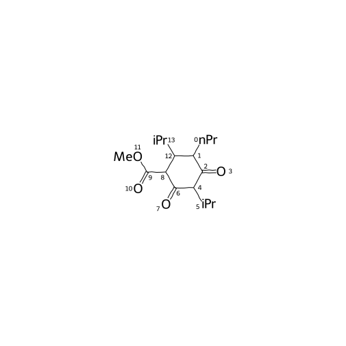 CCCC1C(=O)C(C(C)C)C(=O)C(C(=O)OC)C1C(C)C